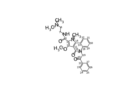 COc1c(C(=O)NCCN(C)C)n(C)c2c1c(=O)n(CC(=O)c1ccccc1)c1ccccc21